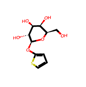 OC[C@H]1O[C@@H](Oc2cccs2)[C@H](O)[C@@H](O)[C@H]1O